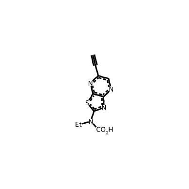 C#Cc1cnc2nc(N(CC)C(=O)O)sc2n1